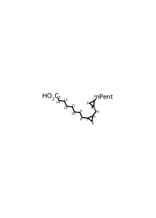 CCCCCC1C[C@@H]1CC1CC1CCCCCCCC(=O)O